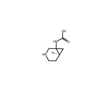 O=C(O)NC12CNCC[C@@H]1C2